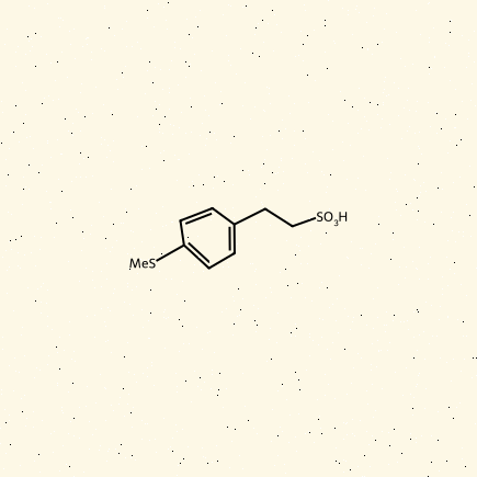 CSc1ccc(CCS(=O)(=O)O)cc1